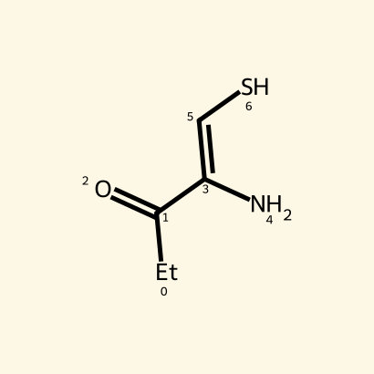 CCC(=O)/C(N)=C/S